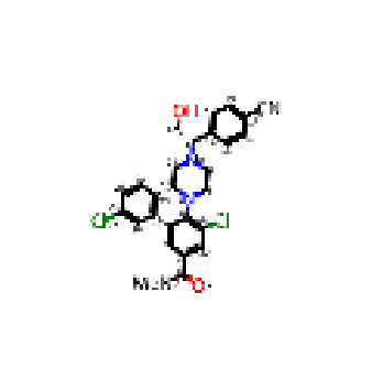 CNC(=O)c1ccc(N2CCN([C@H](CO)c3ccc(C#N)cc3)C[C@H]2c2ccc(Cl)cc2)c(Cl)c1